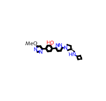 COc1cc(-c2ccc(-c3ccc(N4CC[C@@H](CNC5CCC5)C4)nn3)c(O)c2)ncn1